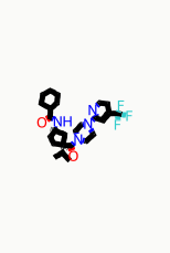 CC(C)[C@]1(C(=O)N2CCN(C3=NCCC(C(F)(F)F)=C3)CC2)CC[C@@H](NC(=O)C2CCCCC2)C1